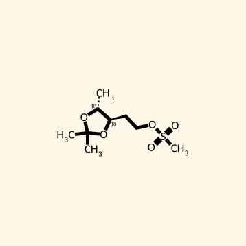 C[C@H]1OC(C)(C)O[C@@H]1CCOS(C)(=O)=O